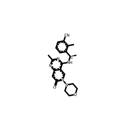 Cc1nc(N[C@H](C)c2cccc(C#N)c2C)c2cn(N3CCOCC3)c(=O)cc2n1